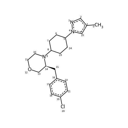 Cc1cnn(C2CCC(N3CCOC[C@@H]3Cc3ccc(Cl)cc3)CC2)c1